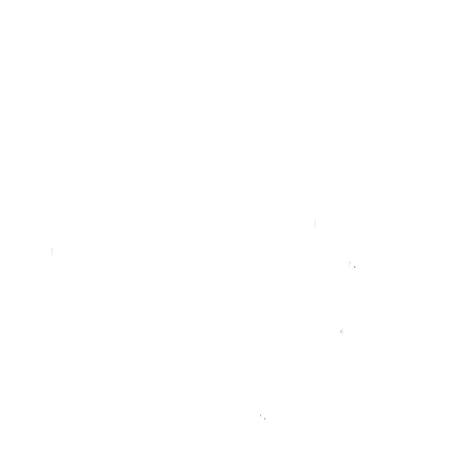 Cc1ccc(CCCC(C)(C)NC[C@H](O)COc2cc(-c3ccc(C(=O)O)cc3)ccc2C#N)cc1Cl